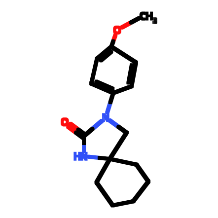 COc1ccc(N2CC3(CCCCC3)NC2=O)cc1